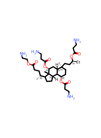 CC[C@@H](CC[C@@]1(C)CC[C@@H](OC(=O)CCN)C2[C@@H]3CCC([C@H](C)CCC(=O)OCCN)C3(C)[C@@H](OC(=O)CCN)C[C@@H]21)OC(=O)CCN